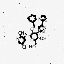 N#Cc1ncc(Cl)cc1S[C@H]1O[C@H](CO)[C@H](O)[C@H](n2cc(-c3nccs3)nn2)[C@H]1OCc1ccccc1